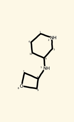 C1CNCC(NC2COC2)C1